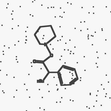 CCCCC(C(=O)ON1CCCCC1)c1ccccc1